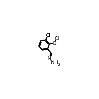 NN=Cc1cccc(Cl)c1OCl